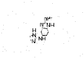 CCCc1nc2cc(NC3=NCCN3)ccc2[nH]1